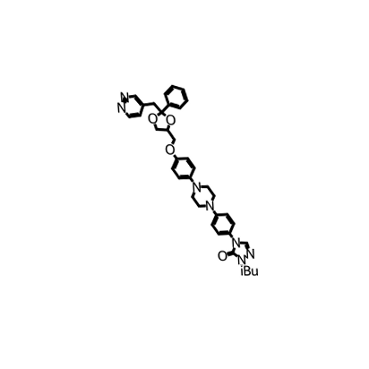 CCC(C)n1ncn(-c2ccc(N3CCN(c4ccc(OCC5COC(Cc6ccnnc6)(c6ccccc6)O5)cc4)CC3)cc2)c1=O